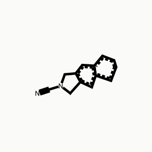 N#CN1[CH]c2cc3ccccc3cc2C1